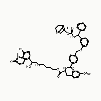 COc1ccc(CC(NC(=O)c2ccc(COc3cccc(C(NC(=O)O[C@H]4CN5CCC4CC5)c4ccccc4)c3)cc2)C(=O)OCCCCNCC(O)c2ccc(O)c3[nH]c(=O)ccc23)cc1